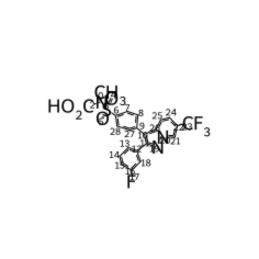 CN(C(=O)O)S(=O)(=O)c1ccc(-c2c(-c3cccc(F)c3)nn3cc(C(F)(F)F)ccc23)cc1